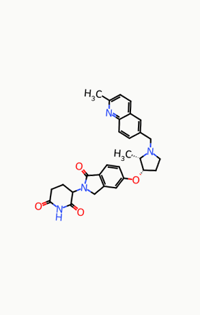 Cc1ccc2cc(CN3CC[C@H](Oc4ccc5c(c4)CN(C4CCC(=O)NC4=O)C5=O)[C@@H]3C)ccc2n1